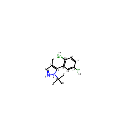 Cc1cnn(C(C)(C)C)c1-c1cc(F)ccc1Br